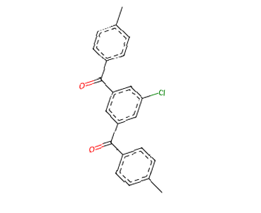 Cc1ccc(C(=O)c2cc(Cl)cc(C(=O)c3ccc(C)cc3)c2)cc1